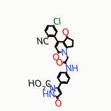 N#Cc1ccc(Cl)cc1-c1cc(=O)n(CC(=O)Nc2ccc(-c3cc(=O)[nH]n3C(=O)O)cc2)c2c1C(=O)CC2